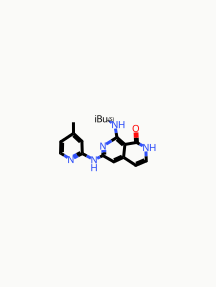 CC[C@H](C)Nc1nc(Nc2cc(C)ccn2)cc2cc[nH]c(=O)c12